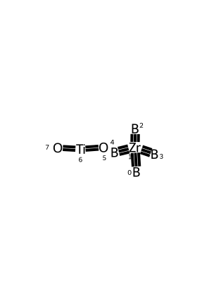 [B]#[Zr](#[B])(#[B])#[B].[O]=[Ti]=[O]